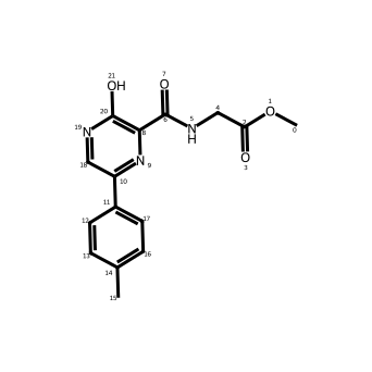 COC(=O)CNC(=O)c1nc(-c2ccc(C)cc2)cnc1O